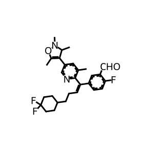 CC1=C(c2cnc(/C(=C\CCC3CCC(F)(F)CC3)c3ccc(F)c(C=O)c3)c(C)c2)C(C)N(C)O1